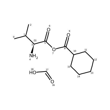 CC(C)[C@H](N)C(=O)OC(=O)C1CCCCC1.O=CO